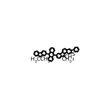 CC1(C)c2ccccc2-c2ccc(-c3c4ccccc4c(-c4ccc5c(c4)-c4ccc6cc7c(cc6c4C5(C)C)sc4ccccc47)c4ccccc34)cc21